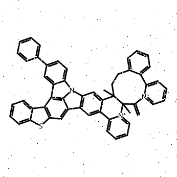 C=C1[n+]2ccccc2-c2ccccc2CCC2(C)c3cc4c(cc3-c3cccc[n+]3C12C)c1cc2sc3ccccc3c2c2c3cc(-c5ccccc5)ccc3n4c12